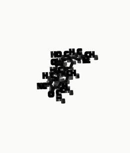 CCC(C)(C)CC[C@]1(C(=O)O)CC[C@]2(C)[C@@H](C1)C(=O)C=C1[C@@]3(C)C=C(C#N)C(=O)C(C)(C)[C@@H]3CC[C@]12C